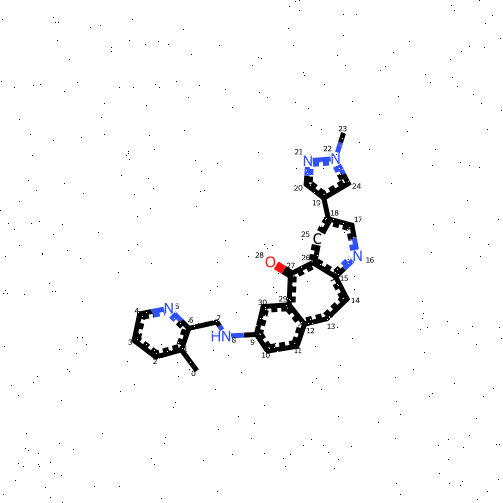 Cc1cccnc1CNc1ccc2ccc3ncc(-c4cnn(C)c4)cc3c(=O)c2c1